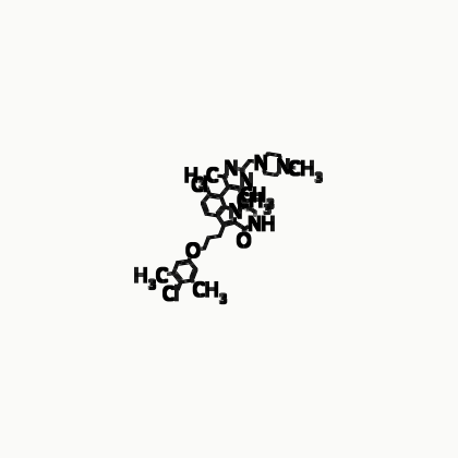 Cc1cc(OCCCc2c3n(c4c(-c5c(C)nc(CN6CCN(C)CC6)nc5C)c(Cl)ccc24)[C@H](C)CNC3=O)cc(C)c1Cl